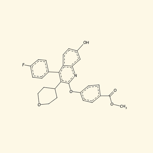 COC(=O)c1ccc(Oc2nc3cc(O)ccc3c(-c3ccc(F)cc3)c2C2CCOCC2)cc1